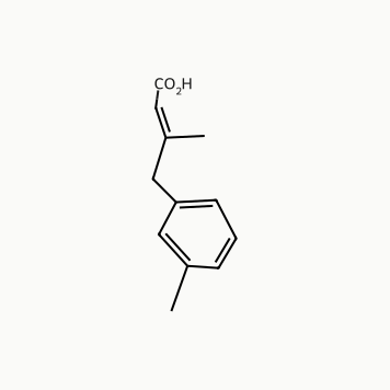 C/C(=C\C(=O)O)Cc1cccc(C)c1